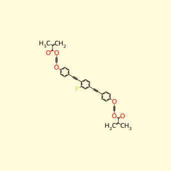 C=C(C)C(=O)OC#COc1ccc(C#Cc2ccc(C#Cc3ccc(OC#COC(=O)C(=C)C)cc3)c(F)c2)cc1